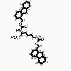 O=C(NCCCCC(NC(=O)OCc1cccc2c1Cc1ccccc1-2)C(=O)O)OCc1cccc2c1Cc1ccccc1-2